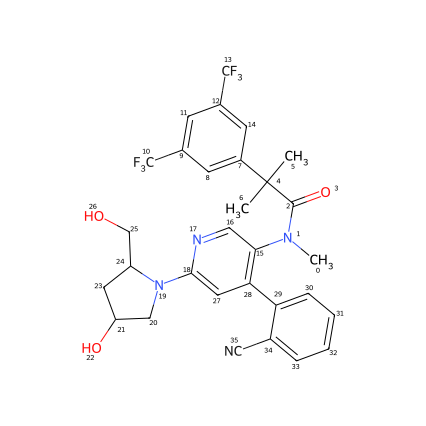 CN(C(=O)C(C)(C)c1cc(C(F)(F)F)cc(C(F)(F)F)c1)c1cnc(N2CC(O)CC2CO)cc1-c1ccccc1C#N